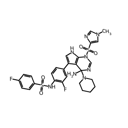 Cn1cnc(S(=O)(=O)N2C=NC(N)(N3CCCCC3)c3c(-c4ccc(NS(=O)(=O)c5ccc(F)cc5)c(F)c4)c[nH]c32)c1